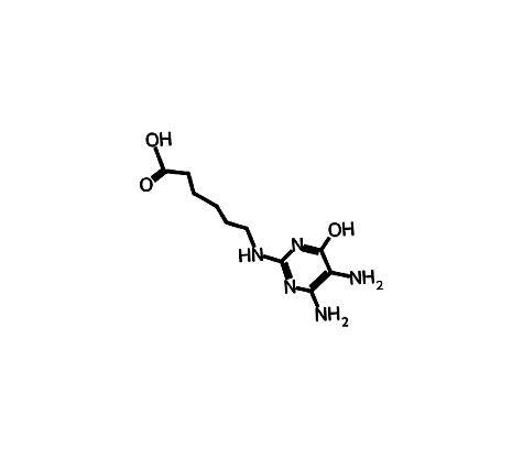 Nc1nc(NCCCCCC(=O)O)nc(O)c1N